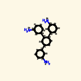 Nc1cccc(-c2ccc(-c3cccc(N)c3)c(-c3cccc(N)c3)c2)c1